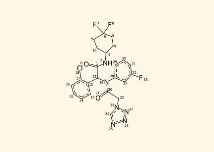 O=C(NC1CCC(F)(F)CC1)C(c1ccccc1Cl)N(C(=O)Cn1cnnn1)c1cccc(F)c1